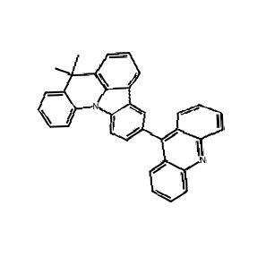 CC1(C)c2ccccc2-n2c3ccc(-c4c5ccccc5nc5ccccc45)cc3c3cccc1c32